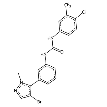 Cn1ncc(Br)c1-c1cccc(NC(=O)Nc2ccc(Cl)c(C(F)(F)F)c2)c1